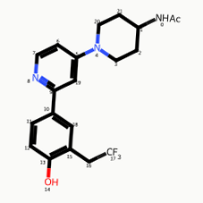 CC(=O)NC1CCN(c2ccnc(-c3ccc(O)c(CC(F)(F)F)c3)c2)CC1